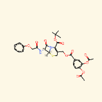 CC(=O)Oc1ccc(C(=O)OCC2=C(C(=O)OC(C)(C)C)N3C(=O)[C@@H](NC(=O)COc4ccccc4)[C@H]3SC2)cc1OC(C)=O